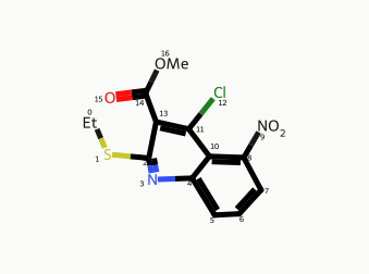 CCSc1nc2cccc([N+](=O)[O-])c2c(Cl)c1C(=O)OC